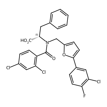 O=C(O)[C@H](Cc1ccccc1)N(Cc1ccc(-c2ccc(F)c(Cl)c2)o1)C(=O)c1ccc(Cl)cc1Cl